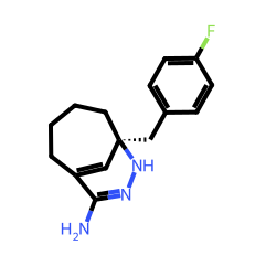 NC1=NN[C@@]2(Cc3ccc(F)cc3)C=C1CCCC2